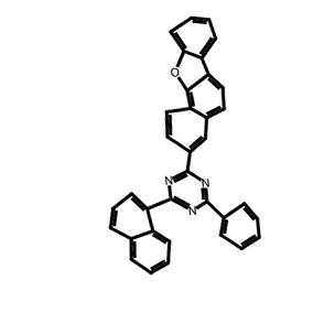 c1ccc(-c2nc(-c3ccc4c(ccc5c6ccccc6oc45)c3)nc(-c3cccc4ccccc34)n2)cc1